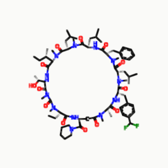 CC[C@H](C)[C@H]1C(=O)N[C@H]([C@@H](C)O)C(=O)N(C)C(=O)N(C)[C@@H](CC)C(=O)N[C@H](C(=O)N2CCCCC2)CC(=O)N(C)[C@@H](C)C(=O)N[C@@H](Cc2ccc(C(F)F)cc2)C(=O)N(C)[C@@H](CC(C)C)C(=O)N(C)[C@@H](Cc2ccccc2)C(=O)N[C@@H](CC(C)C)C(=O)N(C)[C@@H](CC(C)C)C(=O)N1C